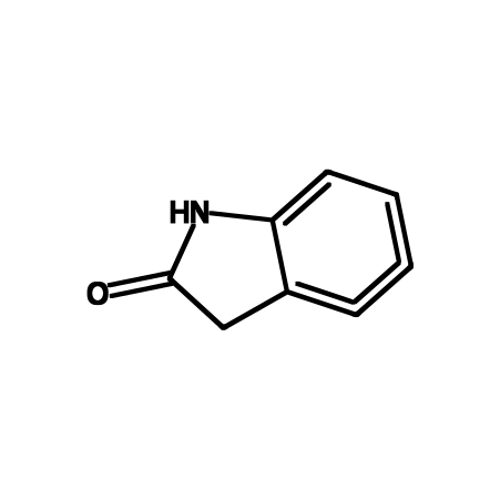 O=C1CC2=C=C=CC=C2N1